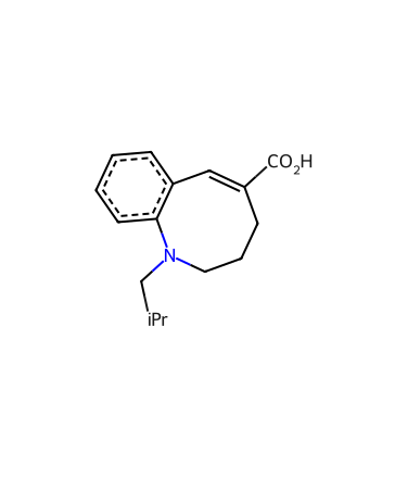 CC(C)CN1CCC/C(C(=O)O)=C\c2ccccc21